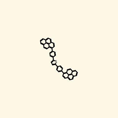 c1cc2ccc3ccc(-c4ccc(-c5ccc(-c6ccc(-c7ccc8ccc9cccc%10ccc7c8c9%10)cc6)s5)cc4)c4ccc(c1)c2c34